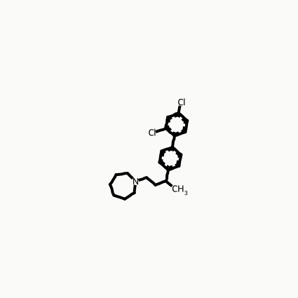 CC(CCN1CCCCCC1)c1ccc(-c2ccc(Cl)cc2Cl)cc1